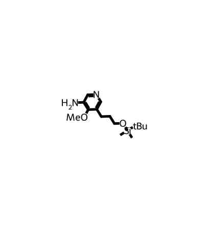 COc1c(N)cncc1CCCO[Si](C)(C)C(C)(C)C